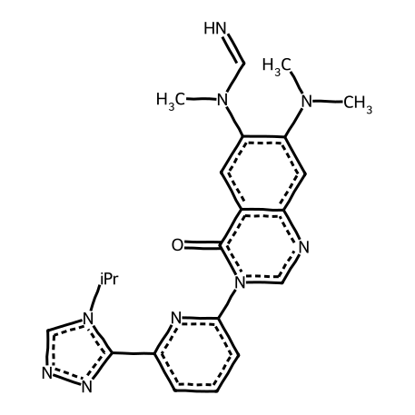 CC(C)n1cnnc1-c1cccc(-n2cnc3cc(N(C)C)c(N(C)C=N)cc3c2=O)n1